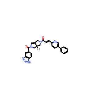 O=C(c1ccc2[nH]nnc2c1)N1C=C2CN(C(=O)C=Cc3ccc(-c4ccccc4)cn3)C[C@@H]2C1